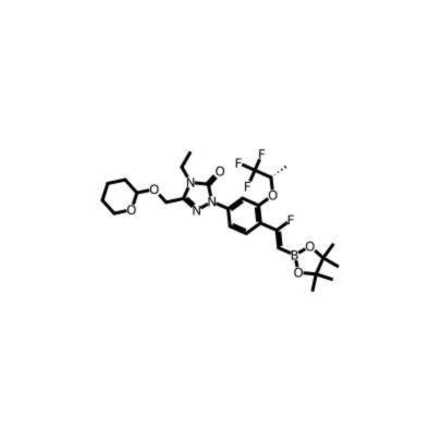 CCn1c(COC2CCCCO2)nn(-c2ccc(/C(F)=C/B3OC(C)(C)C(C)(C)O3)c(O[C@@H](C)C(F)(F)F)c2)c1=O